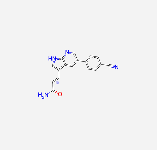 N#Cc1ccc(-c2cnc3[nH]cc(/C=C/C(N)=O)c3c2)cc1